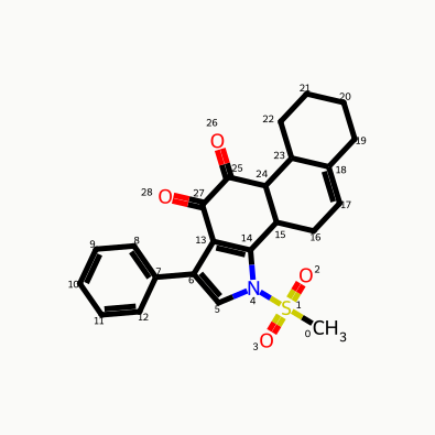 CS(=O)(=O)n1cc(-c2ccccc2)c2c1C1CC=C3CCCCC3C1C(=O)C2=O